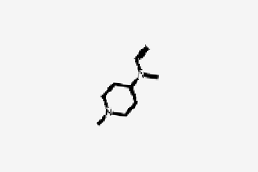 C=CN(C)C1CCN(C)CC1